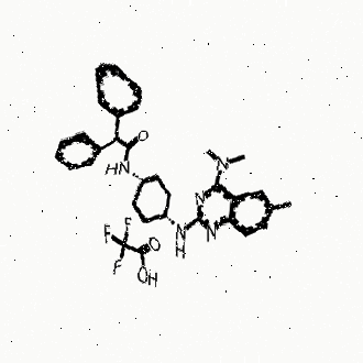 Cc1ccc2nc(N[C@H]3CC[C@@H](NC(=O)C(c4ccccc4)c4ccccc4)CC3)nc(N(C)C)c2c1.O=C(O)C(F)(F)F